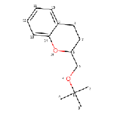 CC(C)(C)OCC1CCc2ccccc2O1